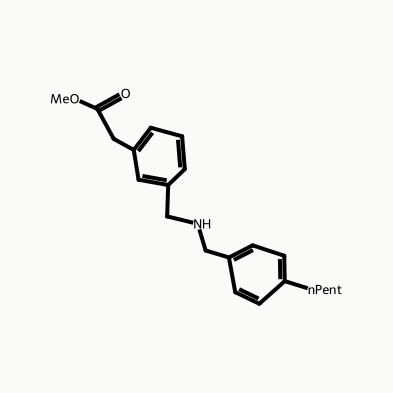 CCCCCc1ccc(CNCc2cccc(CC(=O)OC)c2)cc1